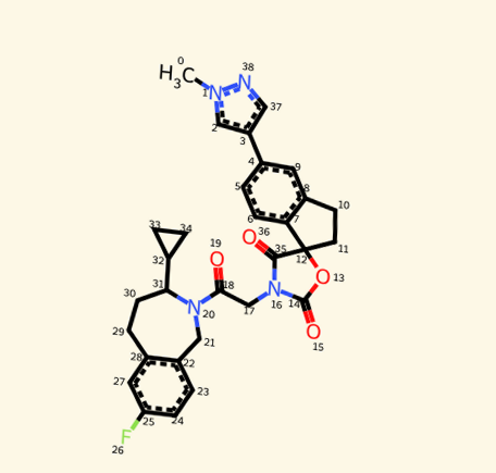 Cn1cc(-c2ccc3c(c2)CCC32OC(=O)N(CC(=O)N3Cc4ccc(F)cc4CCC3C3CC3)C2=O)cn1